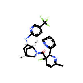 CC1=NC(c2ccccn2)C(F)(C(=O)N2C[C@H]3C[C@@H](Nc4ccc(C(F)(F)F)cn4)[C@@H]2C3)C=C1